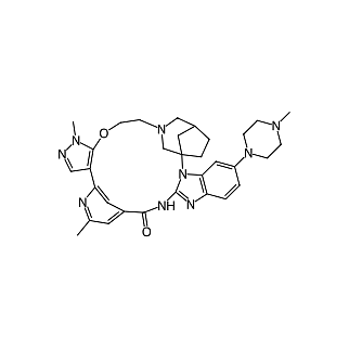 Cc1cc2cc(n1)-c1cnn(C)c1OCCN1CC3CCC(C3)(C1)n1c(nc3ccc(N4CCN(C)CC4)cc31)NC2=O